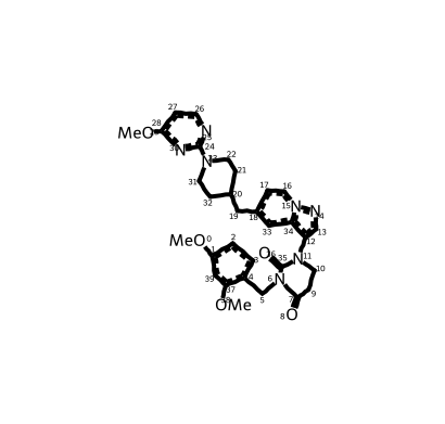 COc1ccc(CN2C(=O)CCN(c3cnn4ccc(CC5CCN(c6nccc(OC)n6)CC5)cc34)C2=O)c(OC)c1